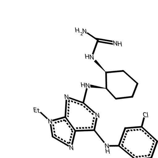 CCn1cnc2c(Nc3cccc(Cl)c3)nc(N[C@@H]3CCCC[C@@H]3NC(=N)N)nc21